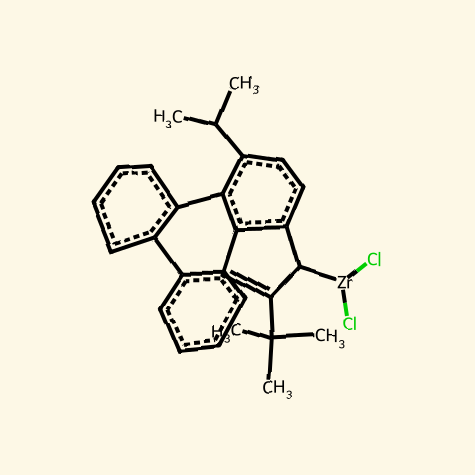 CC(C)c1ccc2c(c1-c1ccccc1-c1ccccc1)C=C(C(C)(C)C)[CH]2[Zr]([Cl])[Cl]